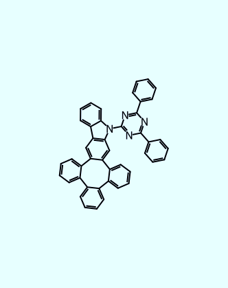 c1ccc(-c2nc(-c3ccccc3)nc(-n3c4ccccc4c4cc5c(cc43)-c3ccccc3-c3ccccc3-c3ccccc3-5)n2)cc1